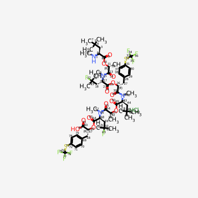 CN[C@@H](CC(C)(C)C)C(=O)O[C@H](C)C(=O)N(C)[C@@H](CC(C)(C)F)C(=O)O[C@H](Cc1ccc(SC(F)(F)F)cc1)C(=O)N(C)[C@@H](CC(C)(C)C)C(=O)O[C@H](C)C(=O)N(C)[C@@H](CC(C)(C)F)C(=O)O[C@H](Cc1ccc(SC(F)(F)F)cc1)C(=O)O.Cl